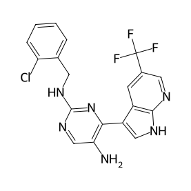 Nc1cnc(NCc2ccccc2Cl)nc1-c1c[nH]c2ncc(C(F)(F)F)cc12